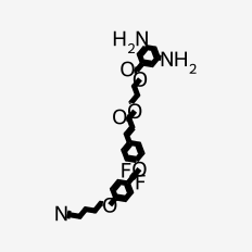 N#CCCCCOc1ccc(C(F)(F)Oc2ccc(C=CC(=O)OCCCOC(=O)c3cc(N)cc(N)c3)cc2)cc1